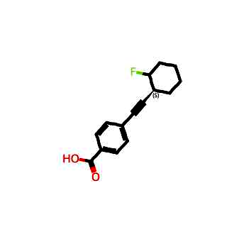 O=C(O)c1ccc(C#C[C@@H]2CCCCC2F)cc1